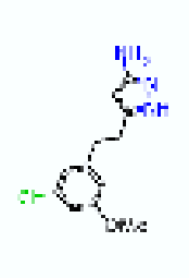 COc1cc(Cl)cc(CCc2cc(N)n[nH]2)c1